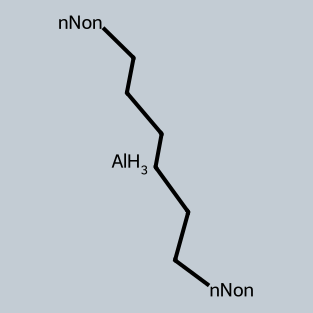 CCCCCCCCCCCCCCCCCCCCCCCC.[AlH3]